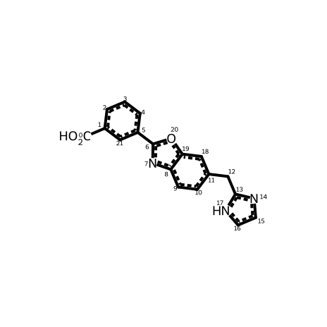 O=C(O)c1cccc(-c2nc3ccc(Cc4ncc[nH]4)cc3o2)c1